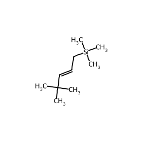 CC(C)(C)C=CC[Si](C)(C)C